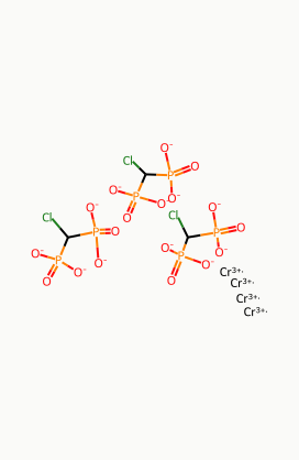 O=P([O-])([O-])C(Cl)P(=O)([O-])[O-].O=P([O-])([O-])C(Cl)P(=O)([O-])[O-].O=P([O-])([O-])C(Cl)P(=O)([O-])[O-].[Cr+3].[Cr+3].[Cr+3].[Cr+3]